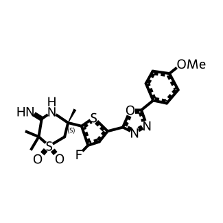 COc1ccc(-c2nnc(-c3cc(F)c([C@]4(C)CS(=O)(=O)C(C)(C)C(=N)N4)s3)o2)cc1